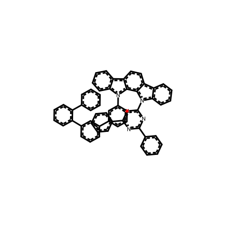 c1ccc(-c2nc(-c3ccccc3)nc(-n3c4ccccc4c4ccc5c6ccccc6n(-c6cccc(-c7cccc(-c8ccccc8-c8ccccc8)c7)c6)c5c43)n2)cc1